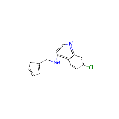 Clc1ccc2c(NCC3=CC=CC3)ccnc2c1